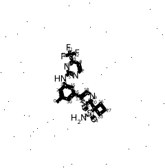 Cc1cc(Nc2nccc(C(F)(F)F)n2)cc(-c2cnc(C3(S(N)(=O)=O)CCC3)s2)c1